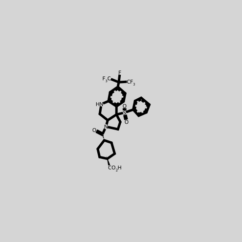 O=C(O)[C@H]1CC[C@H](C(=O)N2CCC3(S(=O)(=O)c4ccccc4)c4ccc(C(F)(C(F)(F)F)C(F)(F)F)cc4NCC23)CC1